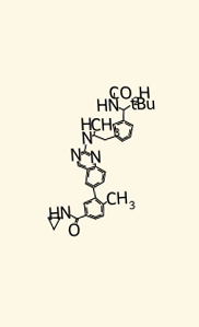 Cc1ccc(C(=O)NC2CC2)cc1-c1ccc2nc(N[C@@H](C)Cc3cccc(C(NC(=O)O)C(C)(C)C)c3)ncc2c1